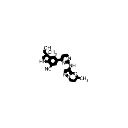 CC1CCn2ncc(Nc3nccc(-c4cc(C#N)c5c(c4)[C@@](C)(CO)CN5)n3)c2O1